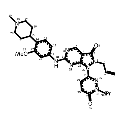 C=CCn1c(=O)c2cnc(Nc3ccc(C4CCN(C)CC4)c(OC)c3)nc2n1-c1ccc(=O)n(C(C)C)n1